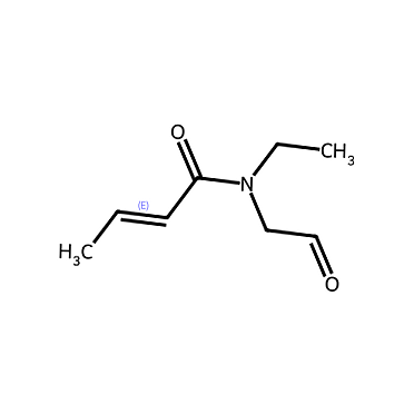 C/C=C/C(=O)N(CC)CC=O